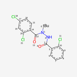 CC(C)(C)N(NC(=O)c1ccccc1Cl)C(=O)c1ccc(Cl)cc1Cl